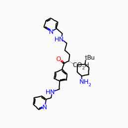 CC(C)(C)C1CCC(N)CC1.O=C(O)[C@@H](CCCNCc1ccccn1)C(=O)c1ccc(CNCc2ccccn2)cc1